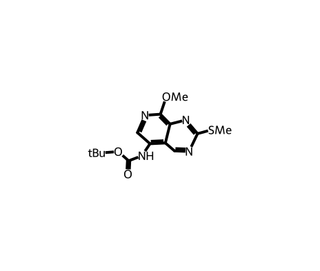 COc1ncc(NC(=O)OC(C)(C)C)c2cnc(SC)nc12